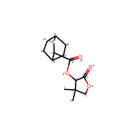 CC1(C)COC(=O)C1OC(=O)C1CC2CCC1CC2